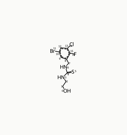 OCCNC(=S)NCc1cc(Br)cc(Cl)c1F